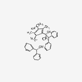 CC1=C(C)C(C)C([Si](C)(C)C(c2ccccc2)c2ccccc2)=C1C.OC(c1ccccc1)c1ccccc1.[KH]